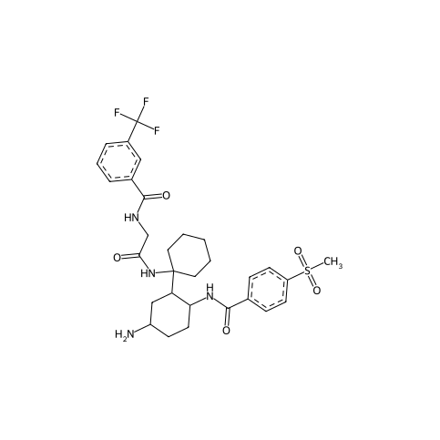 CS(=O)(=O)c1ccc(C(=O)NC2CCC(N)CC2C2(NC(=O)CNC(=O)c3cccc(C(F)(F)F)c3)CCCCC2)cc1